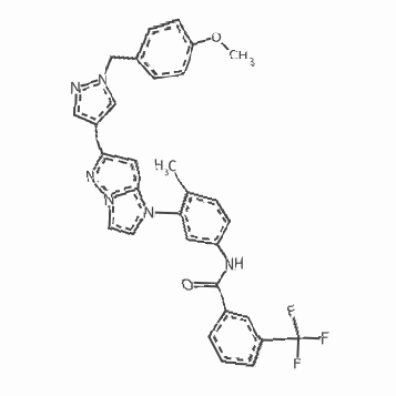 COc1ccc(Cn2cc(-c3cc4n(-c5cc(NC(=O)c6cccc(C(F)(F)F)c6)ccc5C)ccn4n3)cn2)cc1